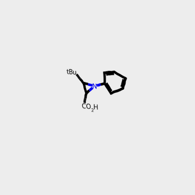 CC(C)(C)C1C(C(=O)O)N1c1ccccc1